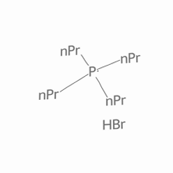 Br.CCC[P](CCC)(CCC)CCC